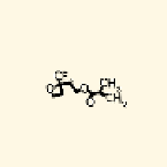 C=C(C)C(=O)OCCC1(C(F)(F)F)CCO1